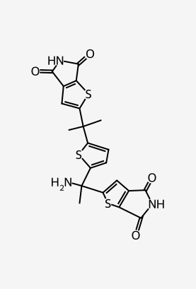 CC(C)(c1ccc(C(C)(N)c2cc3c(s2)C(=O)NC3=O)s1)c1cc2c(s1)C(=O)NC2=O